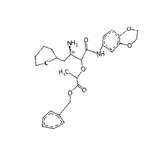 CC(OC(C(=O)Nc1ccc2c(c1)OCCO2)[C@H](N)CC1CCCCC1)C(=O)OCc1ccccc1